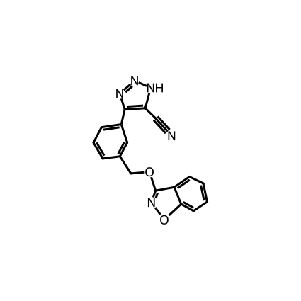 N#Cc1[nH]nnc1-c1cccc(COc2noc3ccccc23)c1